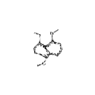 CCc1ccc(OC)c2cccc(OC)c12